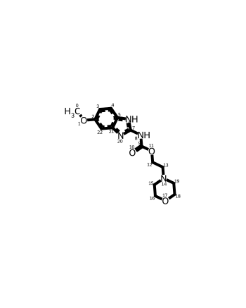 COc1ccc2[nH]c(NC(=O)OCCN3CCOCC3)nc2c1